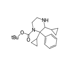 CC(C)(C)OC(=O)N1CCNC(C2CC2)C1(c1ccccc1)C1CC1